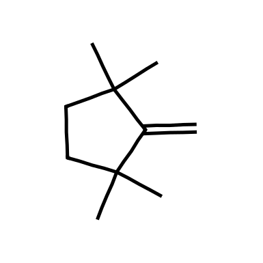 C=C1C(C)(C)CCC1(C)C